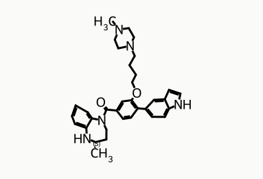 C[C@H]1CCN(C(=O)c2ccc(-c3ccc4[nH]ccc4c3)c(OCCCCN3CCN(C)CC3)c2)c2ccccc2N1